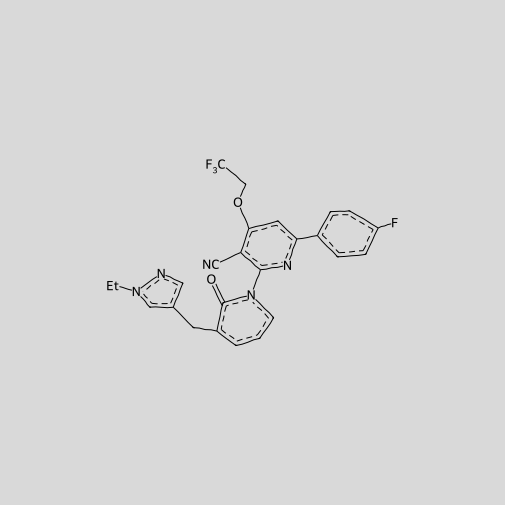 CCn1cc(Cc2cccn(-c3nc(-c4ccc(F)cc4)cc(OCC(F)(F)F)c3C#N)c2=O)cn1